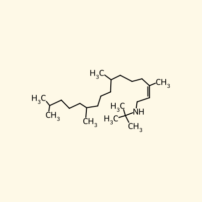 CC(=CCNC(C)(C)C)CCCC(C)CCCC(C)CCCC(C)C